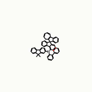 CC1(C)c2ccccc2-c2ccc(N(c3ccccc3-c3ccccc3)c3cccc4c3-c3ccccc3C43C4=C(C=CC=CC4)c4ccccc43)cc21